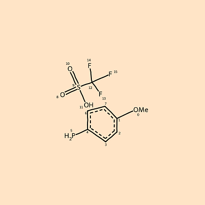 COc1ccc(P)cc1.O=S(=O)(O)C(F)(F)F